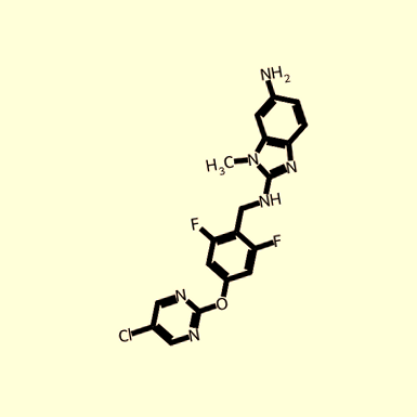 Cn1c(NCc2c(F)cc(Oc3ncc(Cl)cn3)cc2F)nc2ccc(N)cc21